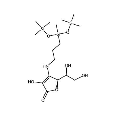 C[Si](C)(C)O[Si](C)(CCCNC1=C(O)C(=O)O[C@@H]1[C@@H](O)CO)O[Si](C)(C)C